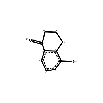 [O]c1cccc2c1CCCC2=O